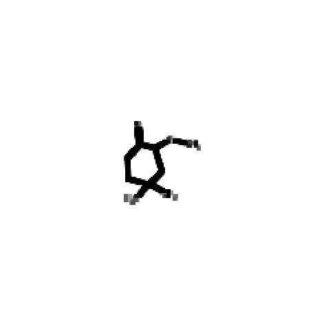 COC1CC(C)(C)CCC1=O